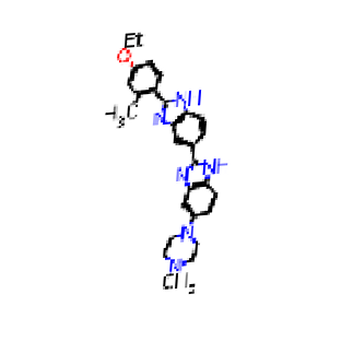 CCOc1ccc(-c2nc3cc(-c4nc5cc(N6CCN(C)CC6)ccc5[nH]4)ccc3[nH]2)c(C)c1